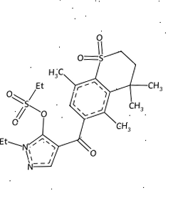 CCn1ncc(C(=O)c2cc(C)c3c(c2C)C(C)(C)CCS3(=O)=O)c1OS(=O)(=O)CC